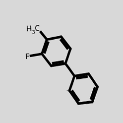 Cc1ccc(-c2[c]cccc2)cc1F